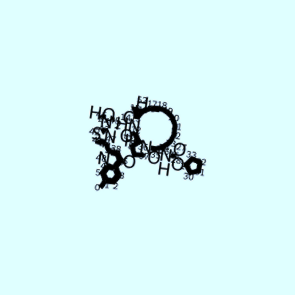 Cc1ccc2c(O[C@@H]3C[C@H]4C(=O)N[C@]5(C(=O)O)C[C@H]5/C=C\CCCCC[C@H](NC(=O)OC5CCCC5)C(=O)N4C3)cc(-c3csc(N(C)C)n3)nc2c1